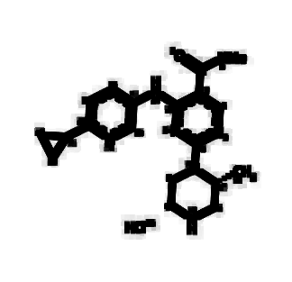 CNC(=O)c1cnc(N2CCNC[C@H]2C)nc1Nc1ccc(C2CC2)nc1.Cl